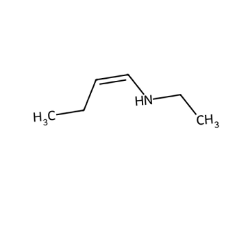 CC/C=C\NCC